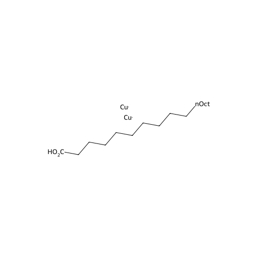 CCCCCCCCCCCCCCCCCC(=O)O.[Cu].[Cu]